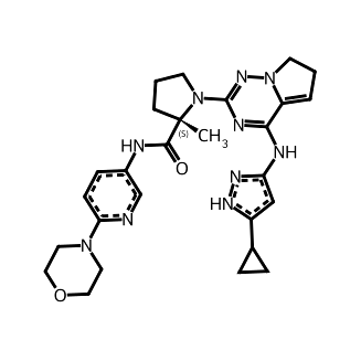 C[C@@]1(C(=O)Nc2ccc(N3CCOCC3)nc2)CCCN1C1=NN2CCC=C2C(Nc2cc(C3CC3)[nH]n2)=N1